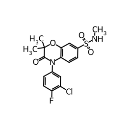 CNS(=O)(=O)c1ccc2c(c1)OC(C)(C)C(=O)N2c1ccc(F)c(Cl)c1